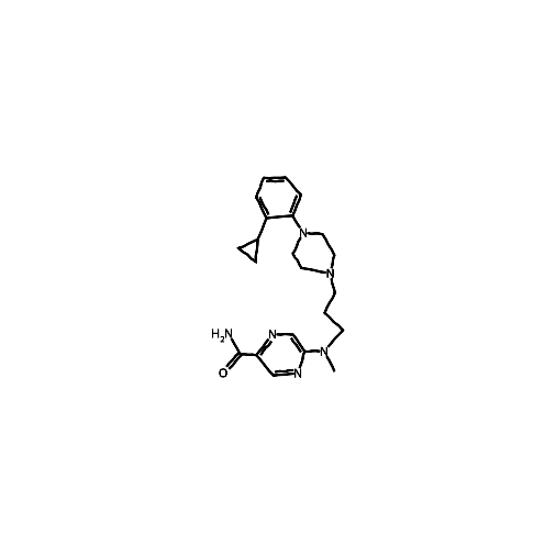 CN(CCCN1CCN(c2ccccc2C2CC2)CC1)c1cnc(C(N)=O)cn1